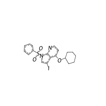 O=S(=O)(c1ccccc1)n1cc(I)c2c(OC3CCCCC3)ccnc21